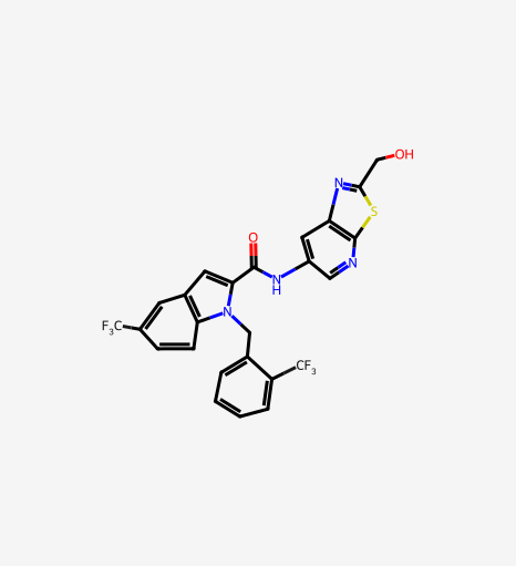 O=C(Nc1cnc2sc(CO)nc2c1)c1cc2cc(C(F)(F)F)ccc2n1Cc1ccccc1C(F)(F)F